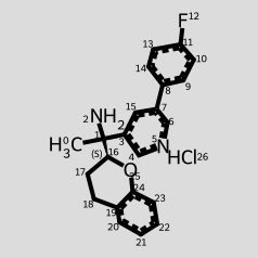 CC(N)(c1cncc(-c2ccc(F)cc2)c1)[C@@H]1CCc2ccccc2O1.Cl